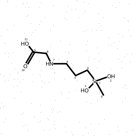 C[Si](O)(O)CCCNCC(=O)O